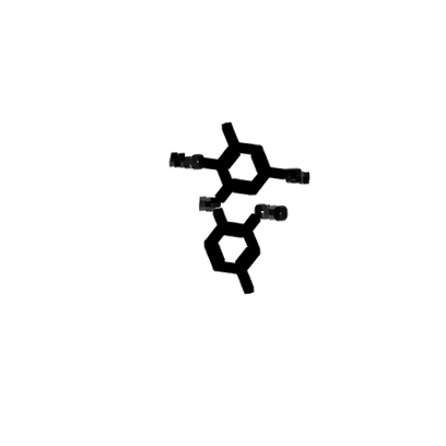 COc1c(C)cc(C(C)(C)C)cc1Pc1ccc(C)cc1C=O